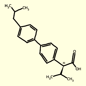 CC(C)Cc1ccc(-c2ccc([C@@H](C(=O)O)C(C)C)cc2)cc1